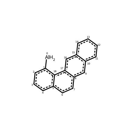 [AlH2][c]1cccc2ccc3cc4ccccc4cc3c12